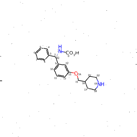 O=C(O)N[C@@H](c1ccccc1)c1cccc(OCC2CCNCC2)c1